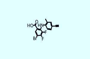 C#Cc1ccc(Nc2c(C(=O)O)cc(Br)c(F)c2F)c(C)c1